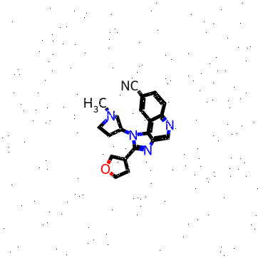 CN1CCC(n2c(C3CCOC3)nc3cnc4ccc(C#N)cc4c32)C1